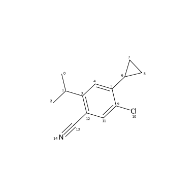 CC(C)c1cc(C2CC2)c(Cl)cc1C#N